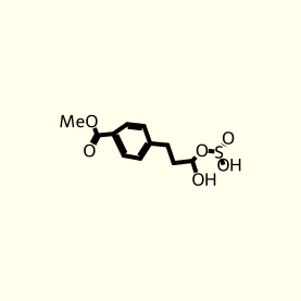 COC(=O)c1ccc(CCC(O)OS(=O)O)cc1